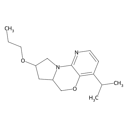 CCCOC1CC2COc3c(C(C)C)ccnc3N2C1